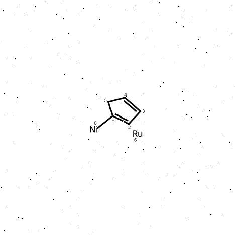 [Ni][C]1=CC=CC1.[Ru]